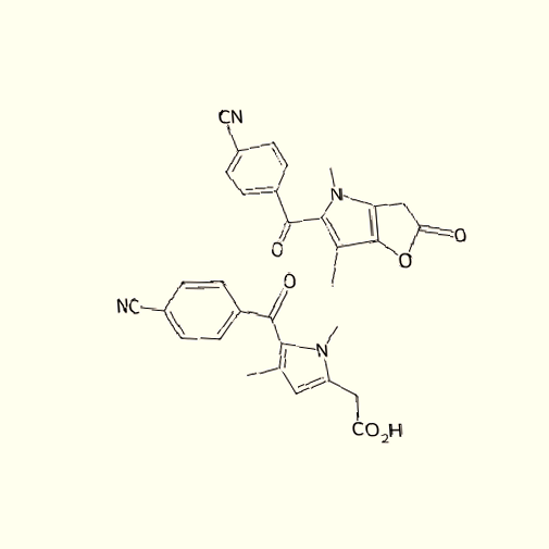 Cc1c2c(n(C)c1C(=O)c1ccc(C#N)cc1)CC(=O)O2.Cc1cc(CC(=O)O)n(C)c1C(=O)c1ccc(C#N)cc1